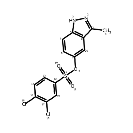 Cc1n[nH]c2ccc(OS(=O)(=O)c3ccc(Cl)c(Cl)c3)cc12